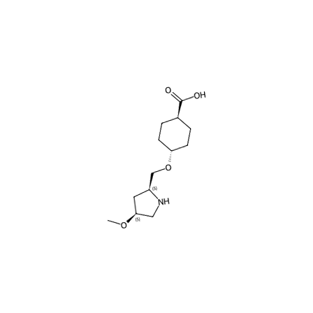 CO[C@@H]1CN[C@H](CO[C@H]2CC[C@H](C(=O)O)CC2)C1